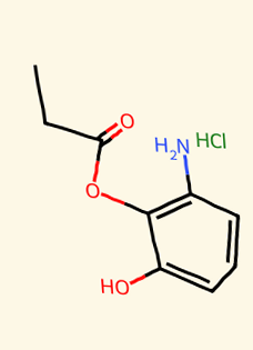 CCC(=O)Oc1c(N)cccc1O.Cl